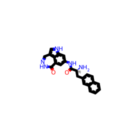 N[C@H](Cc1ccc2ccccc2c1)C(=O)Nc1cc2c3c(c[nH]c3c1)C=NNC2=O